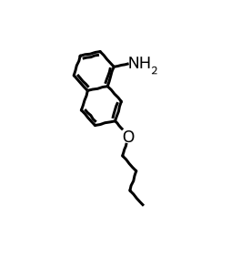 CCCCOc1ccc2cccc(N)c2c1